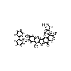 CCc1c2c(nc3ccc(O[Si](c4ccccc4)(c4ccccc4)C(C)(C)C)cc13)-c1cc3c(c(=O)n1C2)COC(=O)[C@@]3(CC)OC(=O)CN